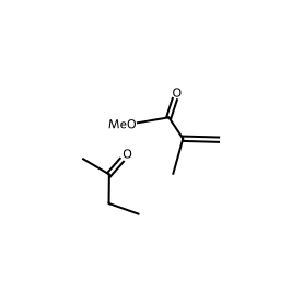 C=C(C)C(=O)OC.CCC(C)=O